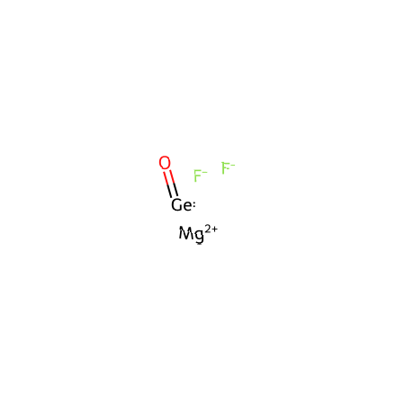 [F-].[F-].[Mg+2].[O]=[Ge]